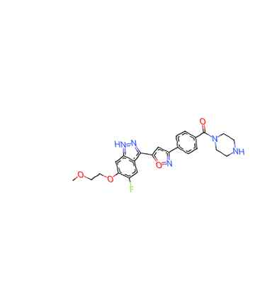 COCCOc1cc2[nH]nc(-c3cc(-c4ccc(C(=O)N5CCNCC5)cc4)no3)c2cc1F